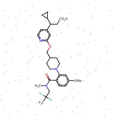 COc1ccc(C(=O)N(C)CC(F)(F)C(F)(F)F)c(N2CCC(COc3cc(C(CC(=O)O)C4CC4)ccn3)CC2)c1